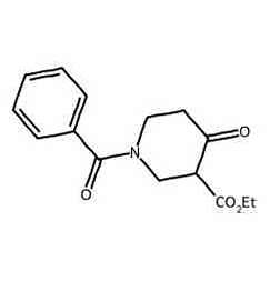 CCOC(=O)C1CN(C(=O)c2ccccc2)CCC1=O